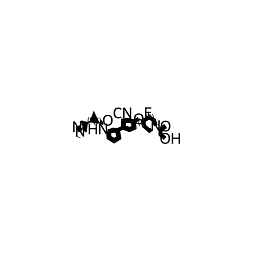 Cn1cc([C@H]2C[C@@H]2C(=O)Nc2cccc(-c3ccc(O[C@H]4CCN(C(=O)CO)C[C@H]4F)c(C#N)c3)c2)cn1